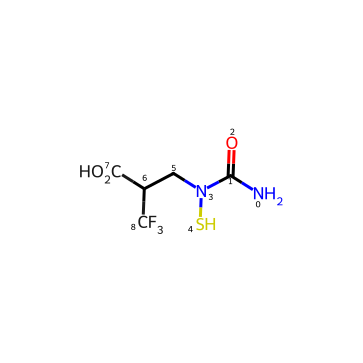 NC(=O)N(S)CC(C(=O)O)C(F)(F)F